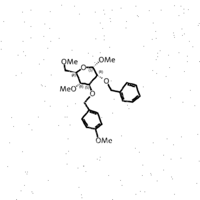 COC[C@H]1O[C@H](OC)[C@H](OCc2ccccc2)[C@@H](OCc2ccc(OC)cc2)[C@@H]1OC